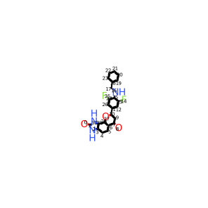 O=c1[nH]c2ccc3c(=O)cc(-c4cc(F)c(NCc5ccccc5)c(F)c4)oc3c2[nH]1